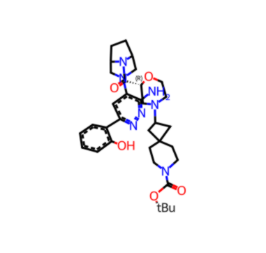 CC(C)(C)OC(=O)N1CCC2(CC1)CC(N1CCO[C@@H](C(=O)N3C4CCC3CN(c3cc(-c5ccccc5O)nnc3N)C4)C1)C2